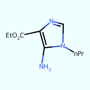 CCCn1cnc(C(=O)OCC)c1N